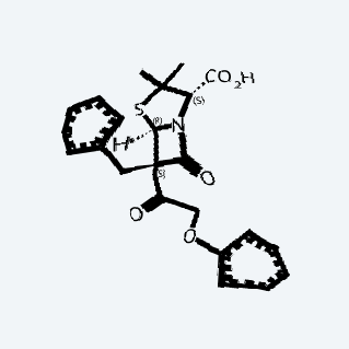 CC1(C)S[C@H]2N(C(=O)[C@]2(Cc2ccccc2)C(=O)COc2ccccc2)[C@H]1C(=O)O